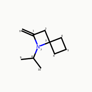 C=C1CC2(CCC2)N1C(C)C